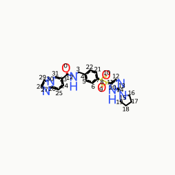 O=C(NCc1ccc(S(=O)(=O)c2cnc(N3CCCC3)[nH]2)cc1)c1ccc2nccn2c1